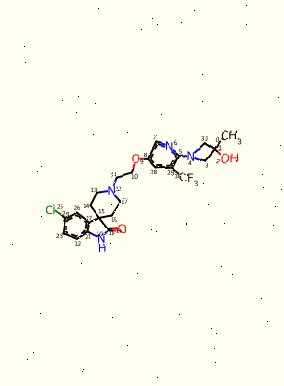 CC1(O)CN(c2ncc(OCCN3CCC4(CC3)C(=O)Nc3ccc(Cl)cc34)cc2C(F)(F)F)C1